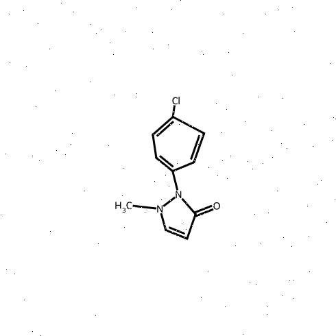 Cn1ccc(=O)n1-c1ccc(Cl)cc1